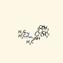 C=C\C=C/C(/C=C/C(=C)Nc1ccc2c(c1)C(C)(C)CC(C)(C)S2)=C\C